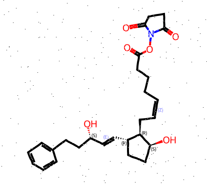 O=C(CCC/C=C\C[C@H]1[C@@H](O)CC[C@@H]1/C=C/[C@@H](O)CCc1ccccc1)ON1C(=O)CCC1=O